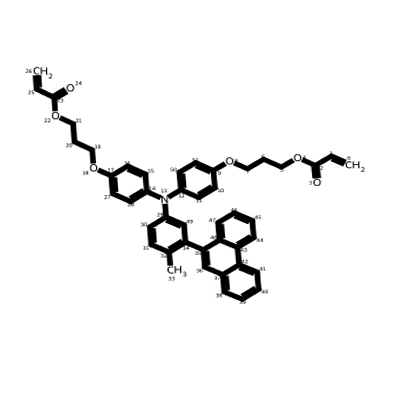 C=CC(=O)OCCCOc1ccc(N(c2ccc(OCCCOC(=O)C=C)cc2)c2ccc(C)c(-c3cc4ccccc4c4ccccc34)c2)cc1